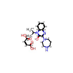 CC(C)n1c(=O)c(N2CCCNCC2)nc2ccccc21.O=C(O)/C=C\C(=O)O